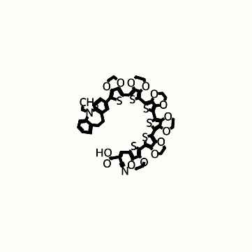 CCN1c2ccccc2CCc2cc(-c3sc(-c4sc(-c5sc(-c6sc(-c7sc(-c8sc(/C=C(\C#N)C(=O)O)c9c8OCCO9)c8c7OCCO8)c7c6OCCO7)c6c5OCCO6)c5c4OCCO5)c4c3OCCO4)ccc21